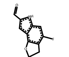 O=Cc1cc2c3c(c(F)cc2[nH]1)CCO3